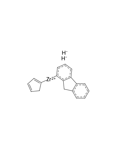 C1=CC[C]([Zr+2][c]2cccc3c2Cc2ccccc2-3)=C1.[H-].[H-]